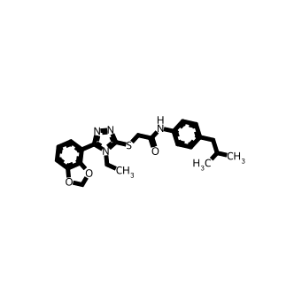 CCn1c(SCC(=O)Nc2ccc(CC(C)C)cc2)nnc1-c1cccc2c1OCO2